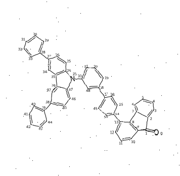 O=C1c2ccccc2-c2c1cccc2-c1ccc(-c2cccc(-n3c4ccc(-c5ccccc5)cc4c4cc(-c5ccccc5)ccc43)c2)cc1